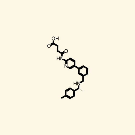 Cc1ccc([C@@H](C)NCc2cccc(-c3ccc(NC(=O)CCC(=O)O)nc3)c2)cc1